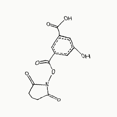 O=C(O)c1cc(O)cc(C(=O)ON2C(=O)CCC2=O)c1